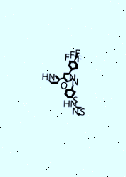 CN1CC(Oc2ccc(SNc3cscn3)cc2C#N)=C(C2=CNCC=C2)C=C1c1ccc(C(F)(F)F)c(F)c1